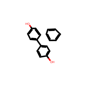 Oc1ccc(-c2ccc(O)cc2)cc1.c1ccccc1